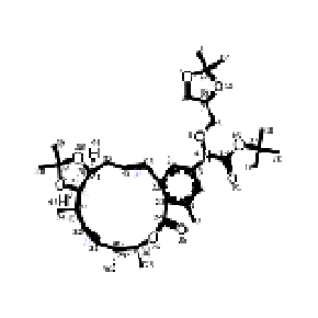 Cc1cc(N(OC[C@H]2COC(C)(C)O2)C(=O)OC(C)(C)C)cc2c1C(=O)O[C@@H](C)[C@H](C)/C=C\[C@@H](C)[C@H]1OC(C)(C)O[C@H]1C/C=C/2